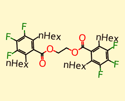 CCCCCCc1c(F)c(F)c(F)c(CCCCCC)c1C(=O)OCCOC(=O)c1c(CCCCCC)c(F)c(F)c(F)c1CCCCCC